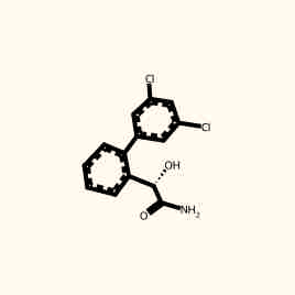 NC(=O)[C@@H](O)c1ccccc1-c1cc(Cl)cc(Cl)c1